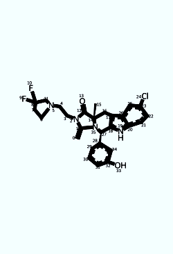 C=C1N(CCN2CCC(F)(F)C2)C(=O)[C@]2(C)Cc3c([nH]c4ccc(Cl)cc34)[C@@H](c3cccc(O)c3)N12